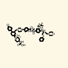 CC1(CN2CCC(NC(=O)O)CC2)CCC(c2ccc(Cl)cc2)=C(CN2CCN(c3ccc(C(=O)NS(=O)(=O)c4ccc(N[C@H](CCN5CCOCC5)CSc5ccccc5)c(S(=O)(=O)C(F)(F)F)c4)cc3)CC2)C1